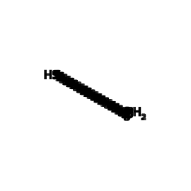 POS(=S)(=S)SSSSSSSSSSSSSSSSSSSSSSSSSSSSSSSSSSSSSSSSS